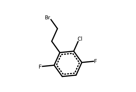 Fc1ccc(F)c(CCBr)c1Cl